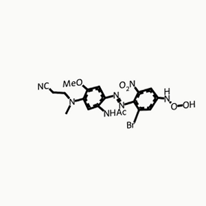 COc1cc(N=Nc2c(Br)cc(NOO)cc2[N+](=O)[O-])c(NC(C)=O)cc1N(C)CCC#N